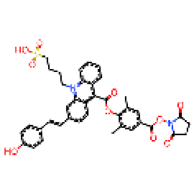 Cc1cc(C(=O)ON2C(=O)CCC2=O)cc(C)c1OC(=O)c1c2ccccc2[n+](CCCCS(=O)(=O)O)c2cc(C=Cc3ccc(O)cc3)ccc12